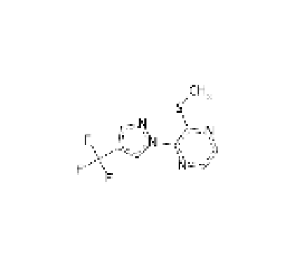 CSc1nccnc1-n1cc(C(F)(F)F)cn1